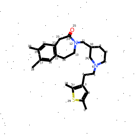 Cc1cc(CCN2CCCC(CN3CCc4cc(C)c(C)cc4CC3=O)C2)c(C)s1